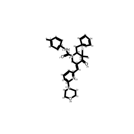 Cc1ccc(NC(=O)N2CC(=Cc3cccc(N4CCOCC4)n3)C(=O)C(C)(C)C2Cc2ccccc2)cc1